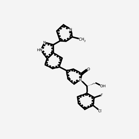 Cc1cc(-c2n[nH]c3ccc(-c4ccn([C@H](CO)c5cccc(Cl)c5F)c(=O)c4)cc23)ccn1